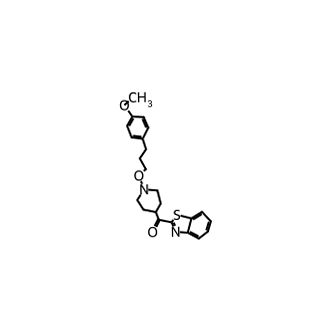 COc1ccc(CCCON2CCC(C(=O)c3nc4ccccc4s3)CC2)cc1